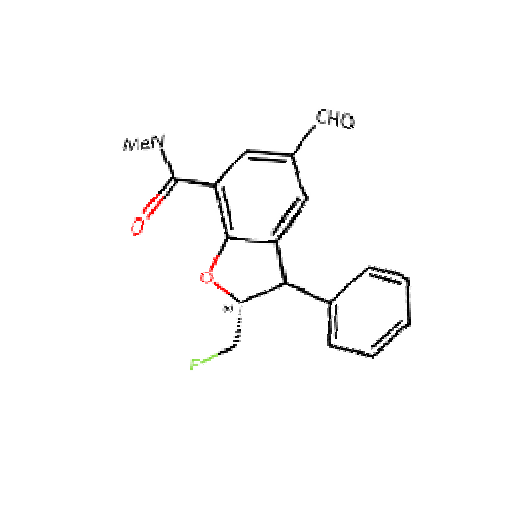 CNC(=O)c1cc(C=O)cc2c1O[C@@H](CF)C2c1ccccc1